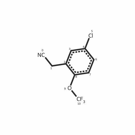 N#CCc1cc(Cl)ccc1OC(F)(F)F